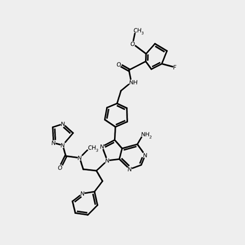 COc1ccc(F)cc1C(=O)NCc1ccc(-c2nn(C(Cc3ccccn3)CN(C)C(=O)n3cncn3)c3ncnc(N)c23)cc1